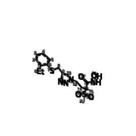 CCc1ccccc1SCc1cn(CCC(C)(C(=O)NO)S(C)(=O)=O)nn1